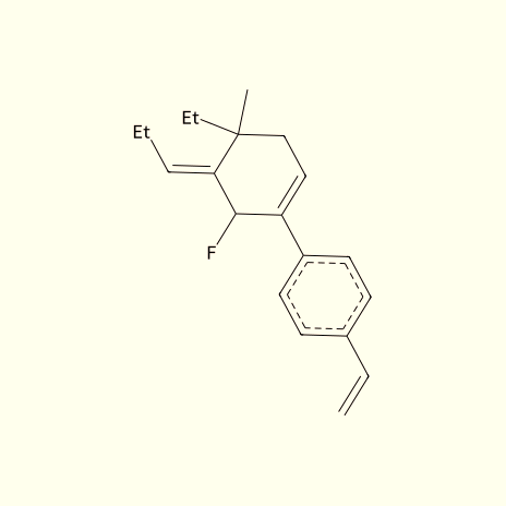 C=Cc1ccc(C2=CCC(C)(CC)/C(=C\CC)C2F)cc1